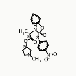 C[C@H](NP(=O)(Oc1ccccc1)Oc1ccc([N+](=O)[O-])cc1)C(=O)O[C@@H]1CCN(C)C1